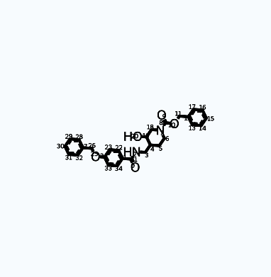 O=C(NCC1CCN(C(=O)OCc2ccccc2)CC1O)c1ccc(OCc2ccccc2)cc1